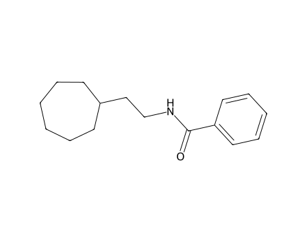 O=C(NCCC1CCCCCC1)c1ccccc1